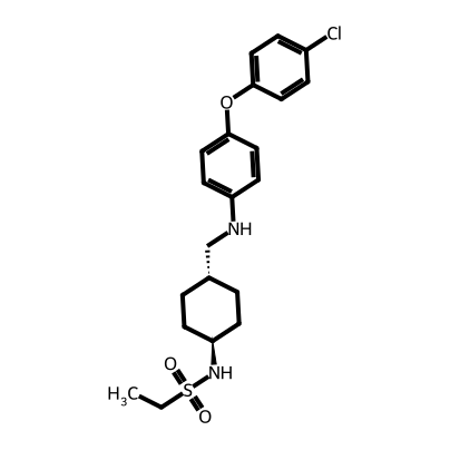 CCS(=O)(=O)N[C@H]1CC[C@H](CNc2ccc(Oc3ccc(Cl)cc3)cc2)CC1